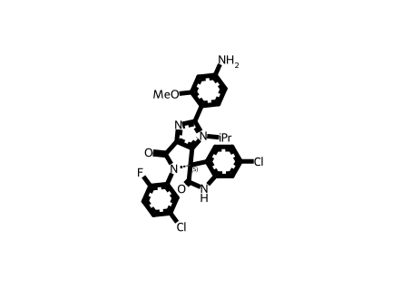 COc1cc(N)ccc1-c1nc2c(n1C(C)C)[C@@]1(C(=O)Nc3cc(Cl)ccc31)N(c1cc(Cl)ccc1F)C2=O